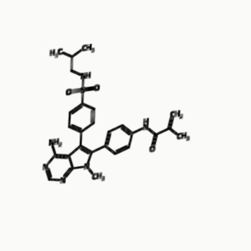 C=C(C)C(=O)Nc1ccc(-c2c(-c3ccc(S(=O)(=O)NCC(C)C)cc3)c3c(N)ncnc3n2C)cc1